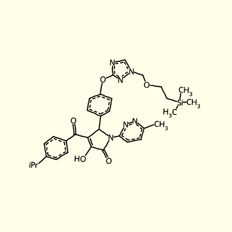 Cc1ccc(N2C(=O)C(O)=C(C(=O)c3ccc(C(C)C)cc3)C2c2ccc(Oc3ncn(COCC[Si](C)(C)C)n3)cc2)nn1